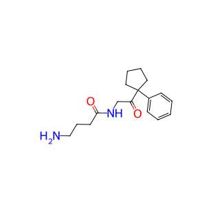 NCCCC(=O)NCC(=O)C1(c2ccccc2)CCCC1